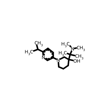 CC(C)c1ccc(N2CCCC(O)(C(C)(C)N(C)C)C2)cn1